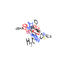 CCc1nc2ccc(-n3nc(C)nc3[C@@H]3O[C@@H]4COC(c5ccccc5)O[C@@H]4[C@H](NNC(=O)OC(C)(C)C)[C@H]3O)cc2s1